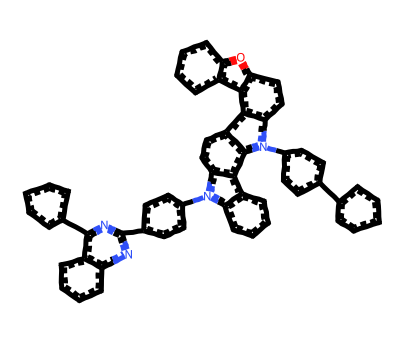 c1ccc(-c2ccc(-n3c4ccc5oc6ccccc6c5c4c4ccc5c(c6ccccc6n5-c5ccc(-c6nc(-c7ccccc7)c7ccccc7n6)cc5)c43)cc2)cc1